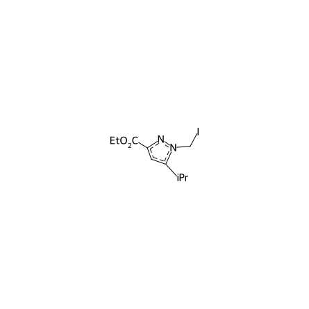 CCOC(=O)c1cc(C(C)C)n(CI)n1